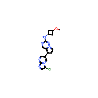 CO[C@H]1C[C@@H](Nc2ncc3c(-c4cnc5ncc(Cl)n5c4)ccn3n2)C1